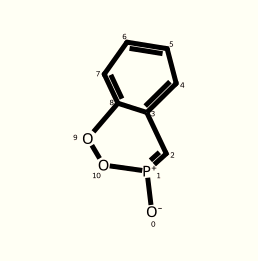 [O-][P+]1=Cc2ccccc2OO1